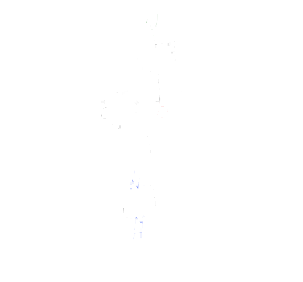 CC(OCCCN1CCNCC1)(c1ccccc1)c1ccc(Cl)cc1